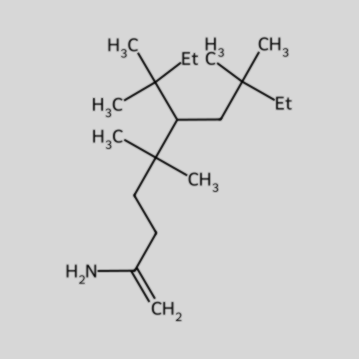 C=C(N)CCC(C)(C)C(CC(C)(C)CC)C(C)(C)CC